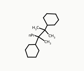 CCCC(C)(C1CCCCC1)C(C)(C)C1CCCCC1